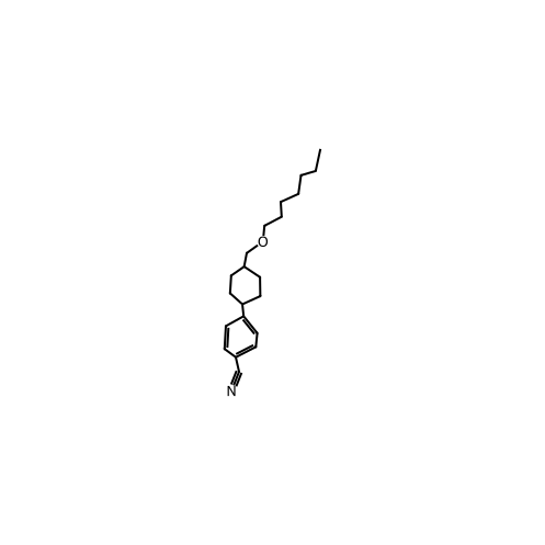 CCCCCCCOCC1CCC(c2ccc(C#N)cc2)CC1